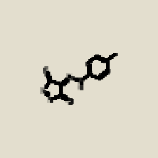 Cc1ccc(NN=c2c(=O)nnc2=O)cc1